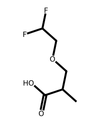 CC(COCC(F)F)C(=O)O